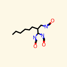 CCCCCCC(CN=C=O)C(N=C=O)N=C=O